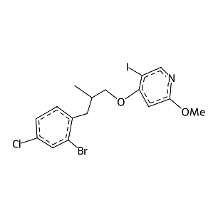 COc1cc(OCC(C)Cc2ccc(Cl)cc2Br)c(I)cn1